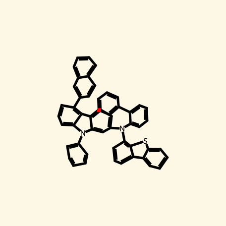 c1ccc(-c2ccccc2N(c2ccc3c4c(-c5ccc6ccccc6c5)cccc4n(-c4ccccc4)c3c2)c2cccc3c2sc2ccccc23)cc1